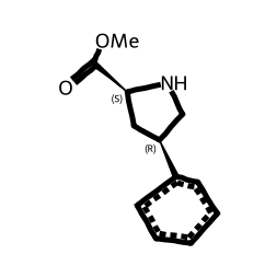 COC(=O)[C@@H]1C[C@H](c2ccccc2)CN1